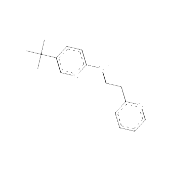 CC(C)(C)c1ccc(NCCc2ccccn2)nc1